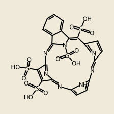 O=S(=O)(O)C1=C(S(=O)(=O)O)c2nc1nc1ccc(nc3nc(c(S(=O)(=O)O)c4c5ccccc5c(n2)n4S(=O)(=O)O)C=C3)[nH]1